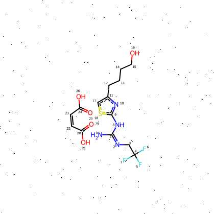 N/C(=N/CC(F)(F)F)Nc1nc(CCCCO)cs1.O=C(O)/C=C\C(=O)O